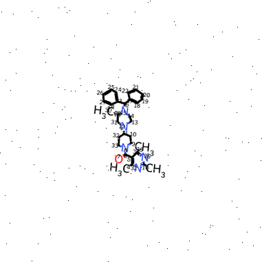 Cc1nc(C)c(C(=O)N2CCC(N3CCN(C(c4ccccc4)c4ccccc4)[C@@H](C)C3)CC2)c(C)n1